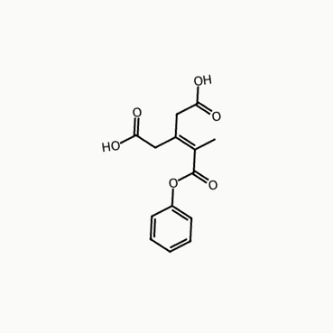 CC(C(=O)Oc1ccccc1)=C(CC(=O)O)CC(=O)O